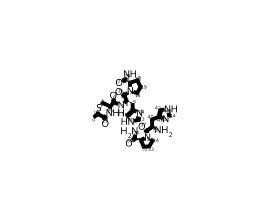 CC1SCC(C(=O)N[C@@H](Cc2c[nH]cn2)C(=O)N2CCC[C@H]2C(N)=O)NC1=O.NC(=O)[C@@H]1CCCN1C(=O)[C@@H](N)Cc1c[nH]cn1